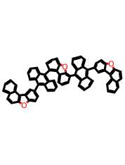 c1ccc2c(c1)ccc1oc3ccc(-c4c5ccccc5c(-c5cccc6c5oc5cccc(-c7c8ccccc8c(-c8ccc9oc%10ccc%11ccccc%11c%10c9c8)c8ccccc78)c56)c5ccccc45)cc3c12